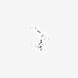 CCO[Si](CCCNC(=O)OCCOC(C)CC)(OCC)OCC